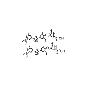 CCc1cc(-c2noc(-c3cc(C)nc(N(CC)CC)c3)n2)cc(C)c1OC[C@@H](O)CNC(=O)CO.CCc1cc(-c2noc(-c3cc(C)nc(N(CC)CC)c3)n2)cc(C)c1OC[C@@H](O)CNC(=O)CO